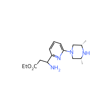 CCOC(=O)CC(N)c1cccc(N2C[C@@H](C)N[C@@H](C)C2)n1